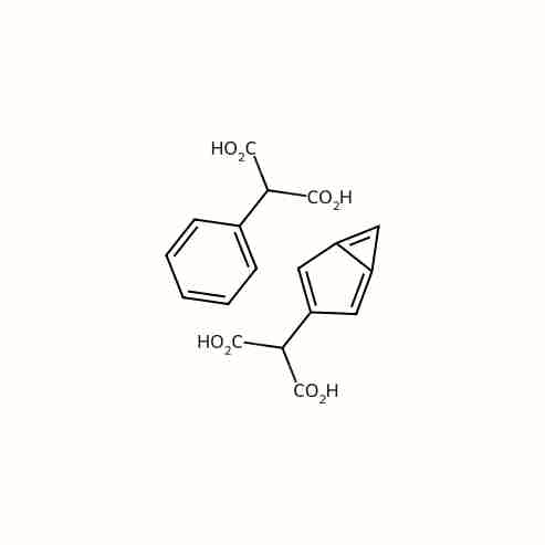 O=C(O)C(C(=O)O)c1cc2cc-2c1.O=C(O)C(C(=O)O)c1ccccc1